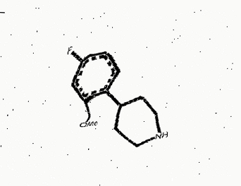 COc1cc(F)ccc1C1CCNCC1